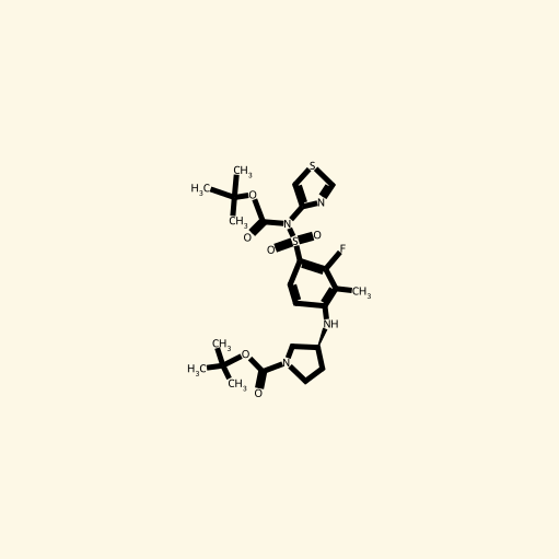 Cc1c(N[C@H]2CCN(C(=O)OC(C)(C)C)C2)ccc(S(=O)(=O)N(C(=O)OC(C)(C)C)c2cscn2)c1F